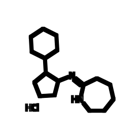 C1CCNC(=NC2CCCC2C2CCCCC2)CC1.Cl